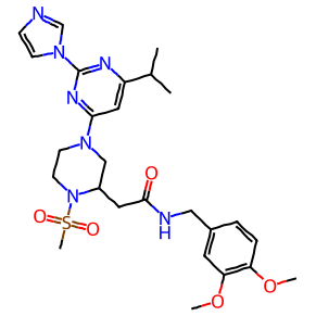 COc1ccc(CNC(=O)CC2CN(c3cc(C(C)C)nc(-n4ccnc4)n3)CCN2S(C)(=O)=O)cc1OC